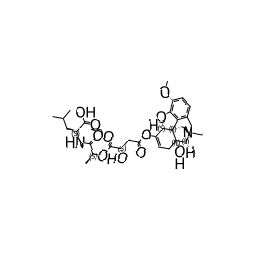 COc1ccc2c3c1O[C@@H]1C(OC(=O)C[C@H](O)C(=O)O[C@@H](C)C(=O)N[C@@H](CC(C)C)C(=O)O)=CC[C@]4(O)[C@H](C2)N(C)CC[C@@]314